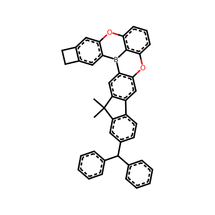 CC1(C)c2cc(C(c3ccccc3)c3ccccc3)ccc2-c2cc3c(cc21)B1c2cc4c(cc2Oc2cccc(c21)O3)CC4